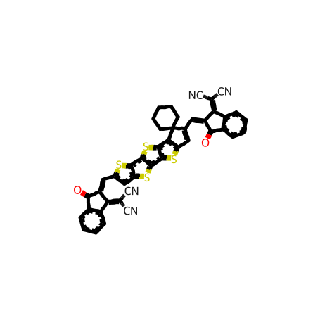 N#CC(C#N)=C1/C(=C/C2=Cc3sc4c(sc5c6sc(/C=C7/C(=O)c8ccccc8C7=C(C#N)C#N)cc6sc45)c3C23CCCCC3)C(=O)c2ccccc21